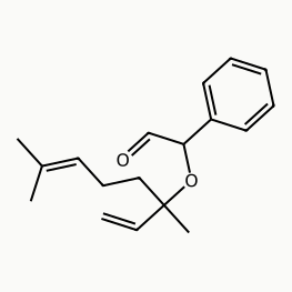 C=CC(C)(CCC=C(C)C)OC(C=O)c1ccccc1